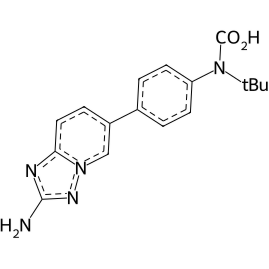 CC(C)(C)N(C(=O)O)c1ccc(-c2ccc3nc(N)nn3c2)cc1